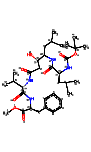 COC(=O)[C@H](Cc1ccccc1)NC(=O)[C@@H](NC(=O)C[C@H](O)C(CC(C)C)NC(=O)[C@H](CC(C)C)NC(=O)OC(C)(C)C)C(C)C